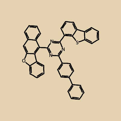 c1ccc(-c2ccc(-c3nc(-c4cccc5c4sc4ccccc45)nc(-c4c5ccccc5cc5oc6ccccc6c45)n3)cc2)cc1